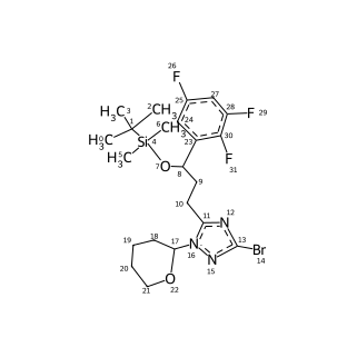 CC(C)(C)[Si](C)(C)OC(CCc1nc(Br)nn1C1CCCCO1)c1cc(F)cc(F)c1F